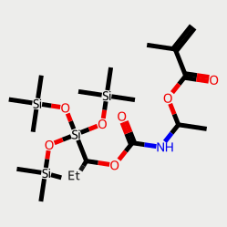 C=C(C)C(=O)OC(C)NC(=O)OC(CC)[Si](O[Si](C)(C)C)(O[Si](C)(C)C)O[Si](C)(C)C